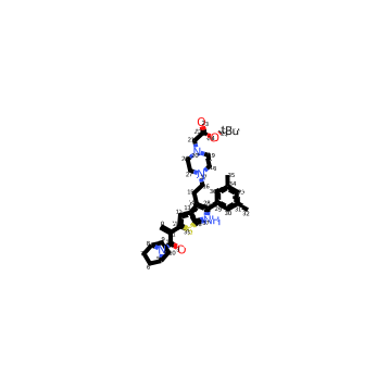 C=C(C(=O)N1C2CCC1CC2)c1cc2c(CCN3CCN(CC(=O)OC(C)(C)C)CC3)c(-c3cc(C)cc(C)c3)[nH]c2s1